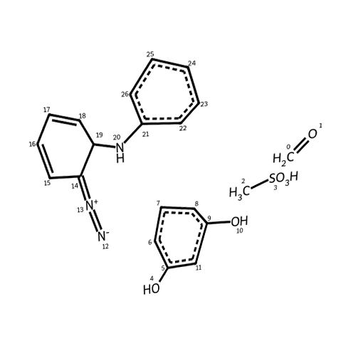 C=O.CS(=O)(=O)O.Oc1cccc(O)c1.[N-]=[N+]=C1C=CC=CC1Nc1ccccc1